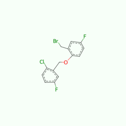 Fc1ccc(Cl)c(COc2ccc(F)cc2CBr)c1